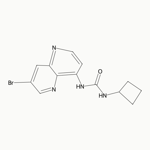 O=C(Nc1ccnc2cc(Br)cnc12)NC1CCC1